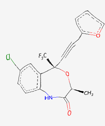 C[C@@H]1O[C@](C#Cc2ccco2)(C(F)(F)F)c2cc(Cl)ccc2NC1=O